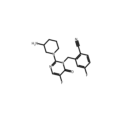 N#Cc1ccc(F)cc1Cn1c(N2CCCC(N)C2)ncc(F)c1=O